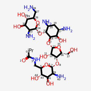 CC(C)C(=O)NCC1O[C@H](O[C@@H]2[C@H](O)[C@H](OC3C(O)[C@H](N)CC(N)[C@H]3O[C@H]3OC(CN)[C@@H](O)C(O)C3N)O[C@@H]2CO)C(N)C(O)[C@@H]1O